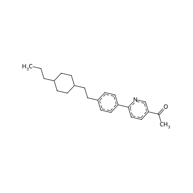 CCCC1CCC(CCc2ccc(-c3ccc(C(C)=O)cn3)cc2)CC1